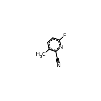 Cc1ccc(F)nc1C#N